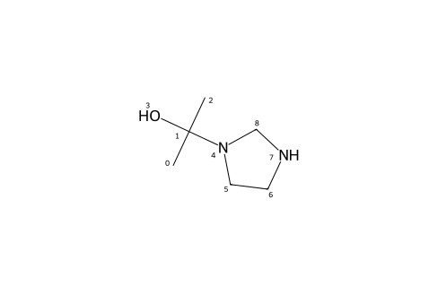 CC(C)(O)N1CCNC1